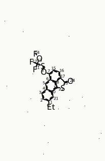 CCc1ccc2cc3c(OSC(F)(F)OF)ccc4c3c(c2c1)SC4=O